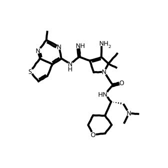 Cc1nc(NC(=N)C2=C(N)C(C)(C)N(C(=O)N[C@H](CN(C)C)C3CCOCC3)C2)c2ccsc2n1